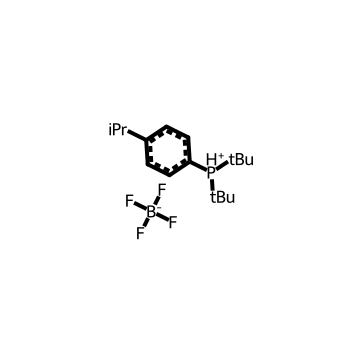 CC(C)c1ccc([PH+](C(C)(C)C)C(C)(C)C)cc1.F[B-](F)(F)F